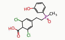 CP(=O)(CCC1=CC(Cl)C(C(=O)O)C(Cl)=C1)c1cccc(O)c1